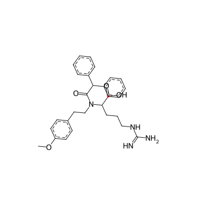 COc1ccc(CCN(C(=O)C(c2ccccc2)c2ccccc2)C(CCCNC(=N)N)C(=O)O)cc1